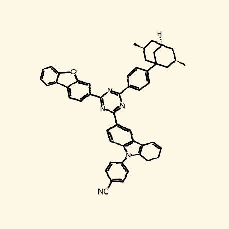 C[C@@H]1C[C@@H]2C[C@H](C)CC(c3ccc(-c4nc(-c5ccc6c(c5)oc5ccccc56)nc(-c5ccc6c(c5)c5c(n6-c6ccc(C#N)cc6)CCC=C5)n4)cc3)(C1)C2